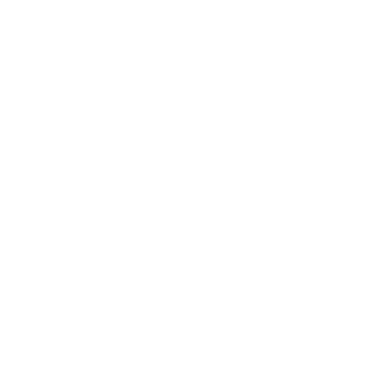 COC1(c2ccc(Cl)c(C)c2)OOC12C1CC3CC2CC(Cl)(C3)C1